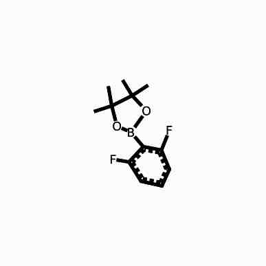 CC1(C)OB(c2c(F)cccc2F)OC1(C)C